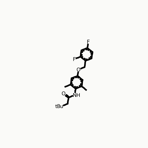 Cc1cc(OCc2ccc(F)cc2F)cc(C)c1NC(=O)CC(C)(C)C